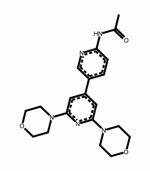 CC(=O)Nc1ccc(-c2cc(N3CCOCC3)nc(N3CCOCC3)c2)cn1